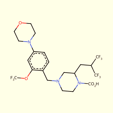 O=C(O)N1CCN(Cc2ccc(N3CCOCC3)cc2OC(F)(F)F)CC1CC(C(F)(F)F)C(F)(F)F